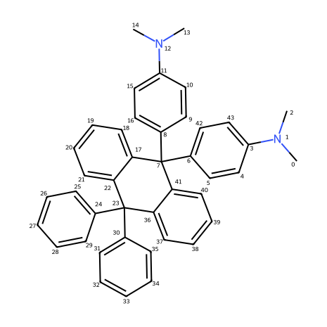 CN(C)c1ccc(C2(c3ccc(N(C)C)cc3)c3ccccc3C(c3ccccc3)(c3ccccc3)c3ccccc32)cc1